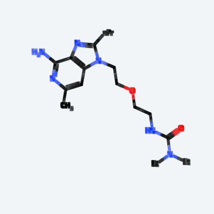 CCCc1nc2c(N)nc(C)cc2n1CCOCCNC(=O)N(CC)CC